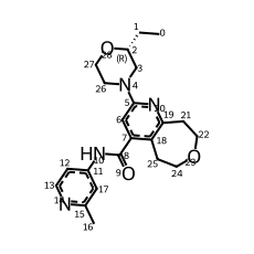 CC[C@@H]1CN(c2cc(C(=O)Nc3ccnc(C)c3)c3c(n2)CCOCC3)CCO1